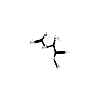 CCCOC(=O)C(NC(=N)N)[N+](=O)[O-]